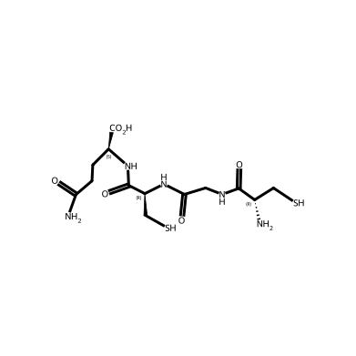 NC(=O)CC[C@H](NC(=O)[C@H](CS)NC(=O)CNC(=O)[C@@H](N)CS)C(=O)O